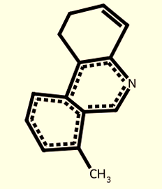 Cc1cccc2c3c(ncc12)C=CCC3